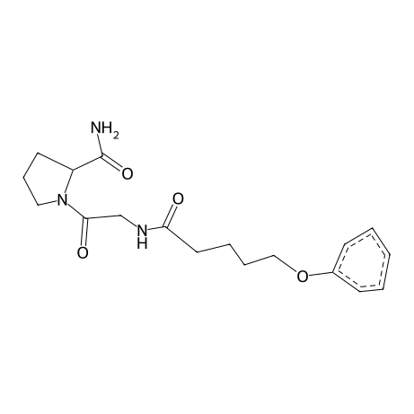 NC(=O)C1CCCN1C(=O)CNC(=O)CCCCOc1ccccc1